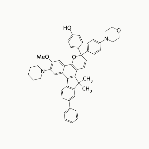 COc1cc2c3c(c4c(c2cc1N1CCCCC1)-c1ccc(-c2ccccc2)cc1C4(C)C)C=CC(c1ccc(O)cc1)(c1ccc(N2CCOCC2)cc1)O3